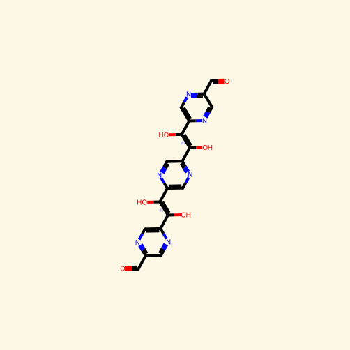 O=Cc1cnc(/C(O)=C(\O)c2cnc(/C(O)=C(\O)c3cnc(C=O)cn3)cn2)cn1